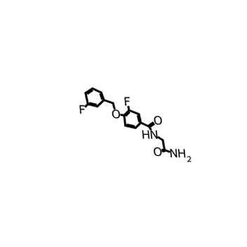 NC(=O)CNC(=O)c1ccc(OCc2cccc(F)c2)c(F)c1